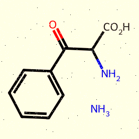 N.NC(C(=O)O)C(=O)c1ccccc1